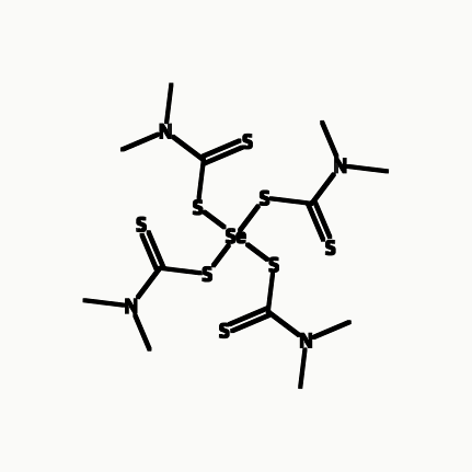 CN(C)C(=S)S[Se](SC(=S)N(C)C)(SC(=S)N(C)C)SC(=S)N(C)C